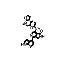 C=C(/C(CN(C)C)=N\C(=C/C)Nc1cnc(-c2ccnc3[nH]ccc23)c2c1C(=O)NC2)[C@H]1CCOC1